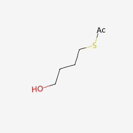 CC(=O)SCCCCO